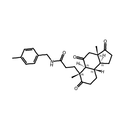 Cc1ccc(CNC(=O)CC[C@@]2(C)C(=O)CC[C@@H]3[C@@H]2C(=O)C[C@]2(C)C(=O)CC[C@@H]32)cc1